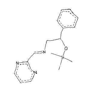 C[Si](C)(C)OC(CN=Cc1ncccn1)c1ccccc1